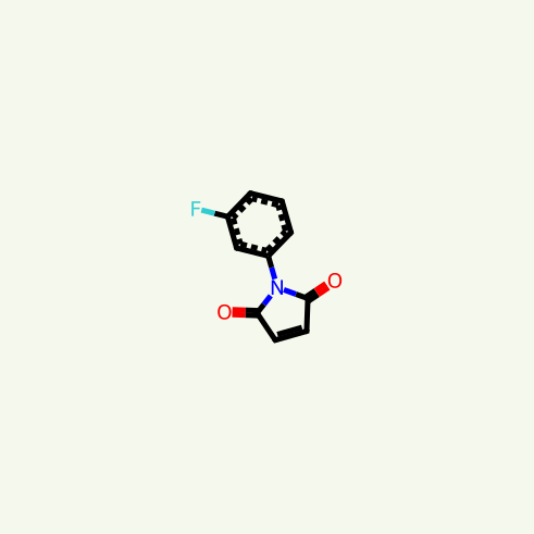 O=C1C=CC(=O)N1c1cccc(F)c1